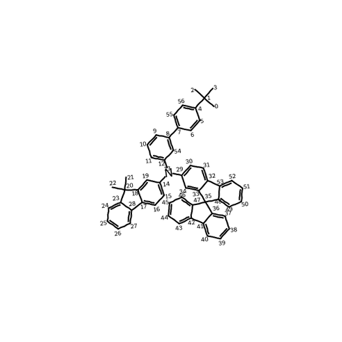 CC(C)(C)c1ccc(-c2cccc(N(c3ccc4c(c3)C(C)(C)c3ccccc3-4)c3ccc4c(c3)C3(c5ccccc5-c5ccccc53)c3ccccc3-4)c2)cc1